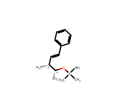 [CH2][C@@H](O[Si](C)(C)C(C)(C)C)[C@H](C)/C=C/c1ccccc1